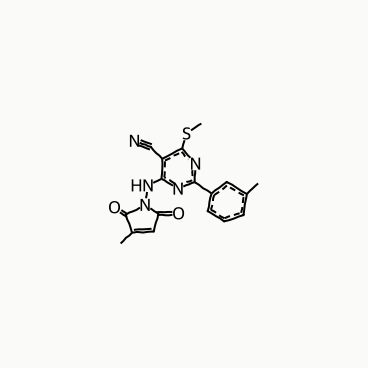 CSc1nc(-c2cccc(C)c2)nc(NN2C(=O)C=C(C)C2=O)c1C#N